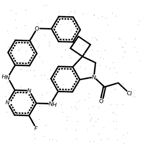 O=C(CCl)N1CC2(CCC2)c2ccc(Nc3nc(Nc4ccc(Oc5ccccc5)cc4)ncc3F)cc21